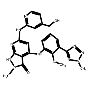 COc1c(Nc2cc(Nc3cc(CO)ccn3)nc3[nH]n(C)c(=O)c23)cccc1-c1nnn(C)n1